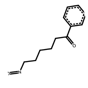 O=NCCCCCC(=O)c1ccccc1